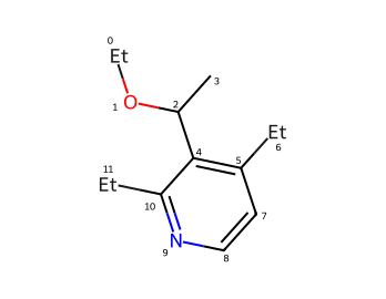 CCOC(C)c1c(CC)ccnc1CC